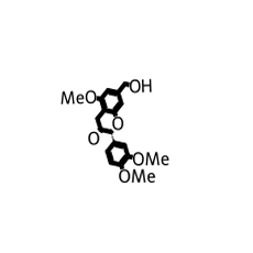 COc1ccc([C@H]2Oc3cc(CO)cc(OC)c3CC2=O)cc1OC